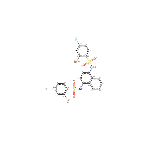 O=S(=O)(Nc1ccc(NS(=O)(=O)c2ccc(F)cc2Br)c2ccccc12)c1ccc(F)cc1Br